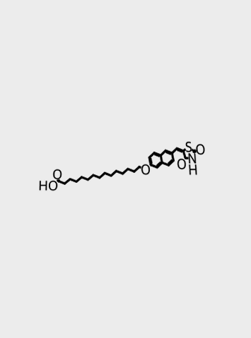 O=C(O)CCCCCCCCCCCCCCOc1ccc2cc(C=C3SC(=O)NC3=O)ccc2c1